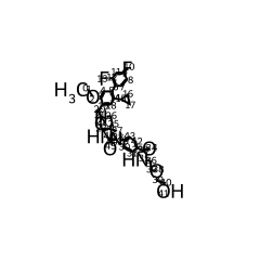 CCOc1cc(-c2ccc(F)cc2F)c(C2CC2)cc1CN1CCC2(CC1)CN(c1ccc(C(=O)NCCOCCO)cc1)C(=O)N2